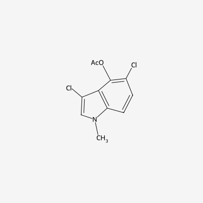 CC(=O)Oc1c(Cl)ccc2c1c(Cl)cn2C